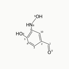 O=Cc1ccc(O)c(NO)c1